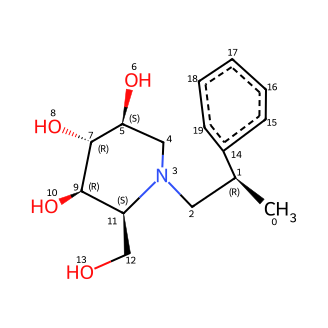 C[C@@H](CN1C[C@H](O)[C@@H](O)[C@H](O)[C@@H]1CO)c1ccccc1